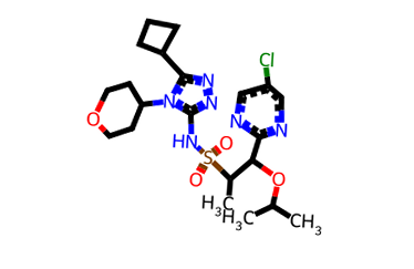 CC(C)OC(c1ncc(Cl)cn1)C(C)S(=O)(=O)Nc1nnc(C2CCC2)n1C1CCOCC1